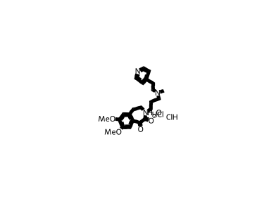 COc1cc2c(cc1OC)C(=O)C(=O)N(CCCN(C)CCc1ccncc1)CC2.Cl.Cl.O